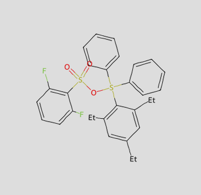 CCc1cc(CC)c(S(OS(=O)(=O)c2c(F)cccc2F)(c2ccccc2)c2ccccc2)c(CC)c1